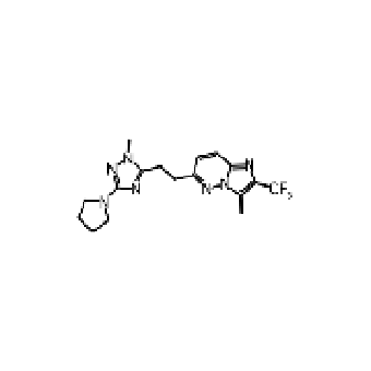 Cc1c(C(F)(F)F)nc2ccc(CCc3nc(N4CCCC4)nn3C)nn12